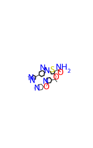 CC(Oc1cc(-n2cnc3cc(-c4cnn(C)c4)ccc32)sc1C(N)=O)c1ccnc(OC2CCN(C)CC2)c1